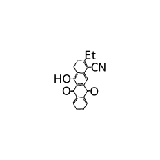 CCC1=C(C#N)c2cc3c(c(O)c2CC1)C(=O)c1ccccc1C3=O